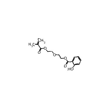 C=C(C)C(=O)OCCOCCOC(=O)c1ccccc1O